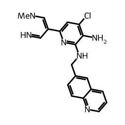 CN/C=C(\C=N)c1cc(Cl)c(N)c(NCc2ccc3ncccc3c2)n1